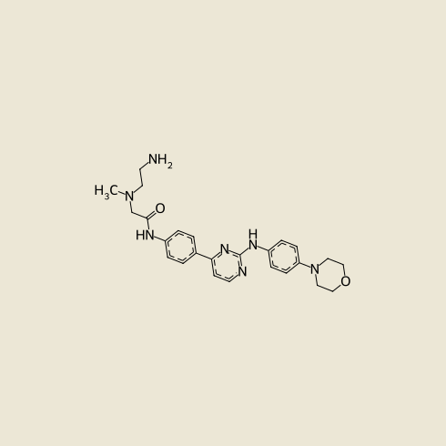 CN(CCN)CC(=O)Nc1ccc(-c2ccnc(Nc3ccc(N4CCOCC4)cc3)n2)cc1